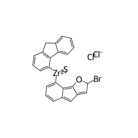 [Cl-].[Cl-].[S]=[Zr+2]([c]1cccc2c1-c1ccccc1C2)[c]1cccc2c1=C1OC(Br)C=C1C=2